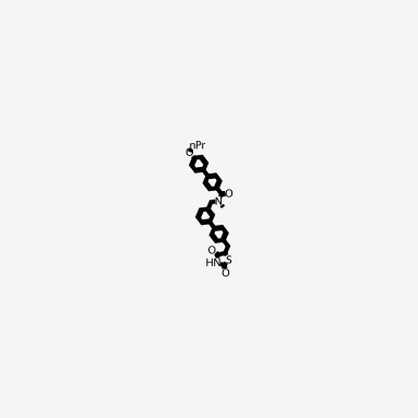 CCCOc1ccc(-c2ccc(C(=O)N(C)Cc3cccc(-c4ccc(CC5SC(=O)NC5=O)cc4)c3)cc2)cc1